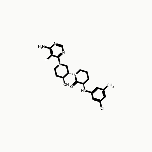 Cc1cc(Cl)cc(N[C@@H]2CCCN([C@H]3CN(c4ncnc(N)c4F)CC[C@@H]3O)C2=O)c1